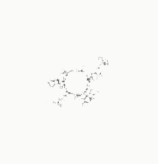 CC(=O)N[C@@H](CCCNC(=N)N)C(=O)N[C@H]1CCC(=O)NCCC[C@@H](C(N)=O)NC(=O)[C@H](Cc2c[nH]c3ccccc23)NC(=O)[C@H](CCCNC(=N)N)NC(=O)[C@@H](Cc2ccccc2Cl)NC(=O)[C@H](CCC(N)=O)NC1=O